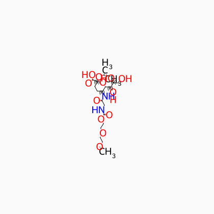 COCCOCCOC(=O)NCC(=O)N[C@@H]1CC[C@](OC(C)C)(C(=O)O)OC1[C@H](O)[C@H](O)CO